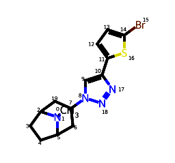 CN1C2CCC1CC(n1cc(-c3ccc(Br)s3)nn1)C2